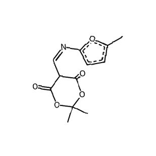 Cc1ccc(/N=C\C2C(=O)OC(C)(C)OC2=O)o1